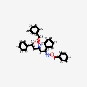 O=C(CC(CC(=NOCc1ccccc1)c1ccccc1)=NOCc1ccccc1)c1ccccc1